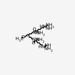 COCCN(CCCNC(=O)[C@@H](N)CCCCNC(=N)N)CCCNC(=O)[C@@H](N)CCCCNC(=N)N